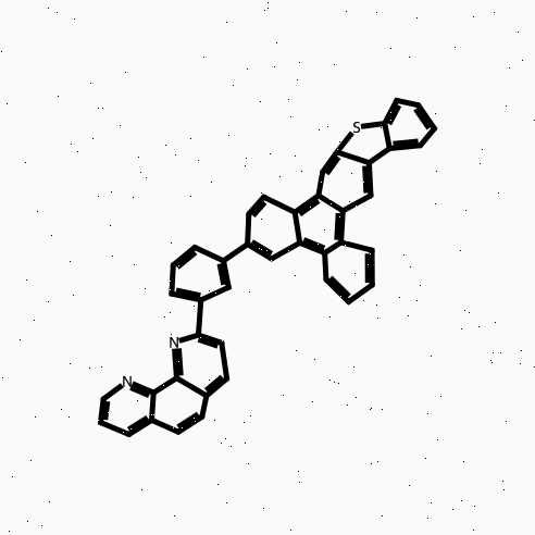 c1cc(-c2ccc3c(c2)c2ccccc2c2cc4c(cc32)sc2ccccc24)cc(-c2ccc3ccc4cccnc4c3n2)c1